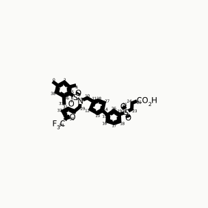 Cc1cc(C)c(S(=O)(=O)N(Cc2ccc(-c3cccc(S(=O)(=O)CCC(=O)O)c3)cc2)Cc2ccc(C(F)(F)F)o2)c(C)c1